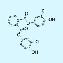 O=C(Oc1ccc(O)c(Cl)c1)c1ccccc1C(=O)Oc1ccc(O)c(Cl)c1